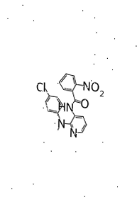 CN(c1ccc(Cl)cc1)c1ncccc1NC(=O)c1ccccc1[N+](=O)[O-]